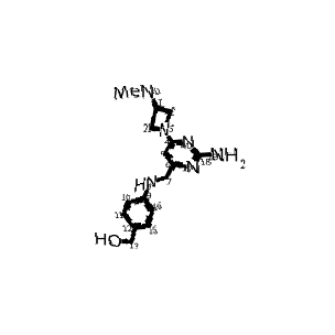 CNC1CN(c2cc(CNc3ccc(CO)cc3)nc(N)n2)C1